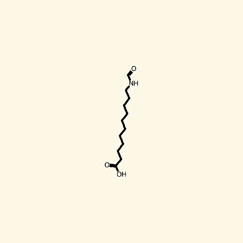 O=CNCCCCCCCCCCC(=O)O